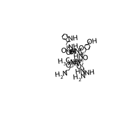 CC(=O)N[C@@H](CCCCN)C(=O)N[C@@H](CCCNC(=N)N)C(=O)N[C@@H](Cc1ccc(O)cc1)C(=O)NCC(=O)N[C@@H](Cc1c[nH]c2ccccc12)C(=O)O